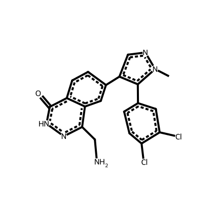 Cn1ncc(-c2ccc3c(=O)[nH]nc(CN)c3c2)c1-c1ccc(Cl)c(Cl)c1